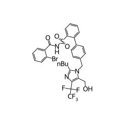 CCCCc1nc(C(F)(F)C(F)(F)F)c(CO)n1Cc1ccc(-c2ccccc2S(=O)(=O)NC(=O)c2ccccc2Br)cc1